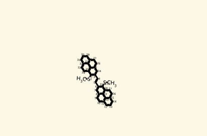 CSc1c(/C=C/c2cc3ccc4cccc5ccc(c2SC)c3c45)cc2ccc3cccc4ccc1c2c34